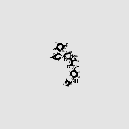 O=C(Nc1ccc(NC2COC2)cc1)c1cnn2ccc(N3CC4CC4[C@@H]3c3cc(F)ccc3F)nc12